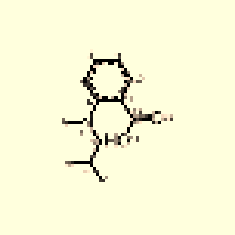 CC(C)CN(C)c1ccccc1C(=O)O